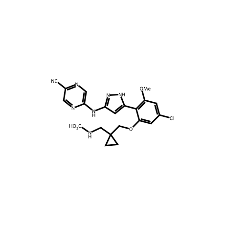 COc1cc(Cl)cc(OCC2(CNC(=O)O)CC2)c1-c1cc(Nc2cnc(C#N)cn2)n[nH]1